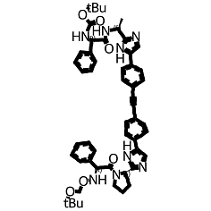 C[C@H](NC(=O)[C@H](NC(=O)OC(C)(C)C)c1ccccc1)c1ncc(-c2ccc(C#Cc3ccc(-c4cnc([C@@H]5CCCN5C(=O)[C@H](NOCOC(C)(C)C)c5ccccc5)[nH]4)cc3)cc2)[nH]1